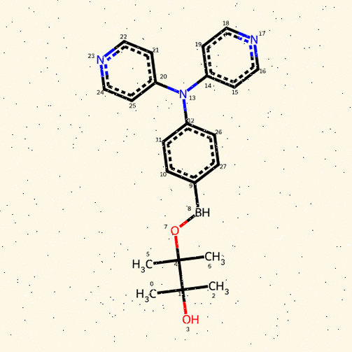 CC(C)(O)C(C)(C)OBc1ccc(N(c2ccncc2)c2ccncc2)cc1